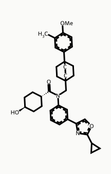 COc1ccc(C23CCC(CN(c4cccc(-c5coc(C6CC6)n5)c4)C(=O)[C@H]4CC[C@H](O)CC4)(CC2)CC3)cc1C